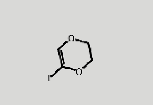 IC1=COCCO1